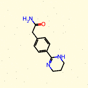 NC(=O)Cc1ccc(C2=NCCCN2)cc1